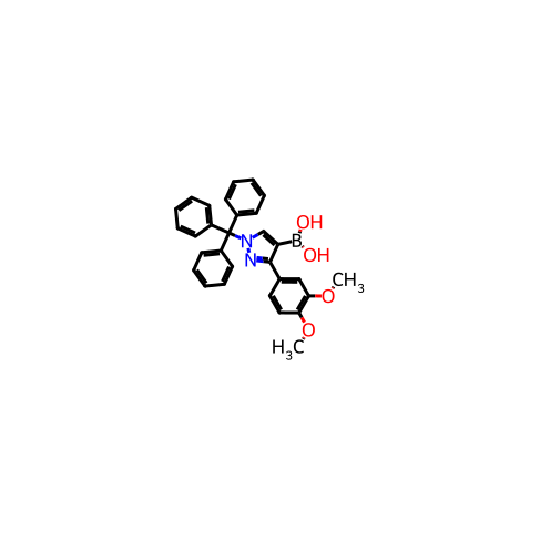 COc1ccc(-c2nn(C(c3ccccc3)(c3ccccc3)c3ccccc3)cc2B(O)O)cc1OC